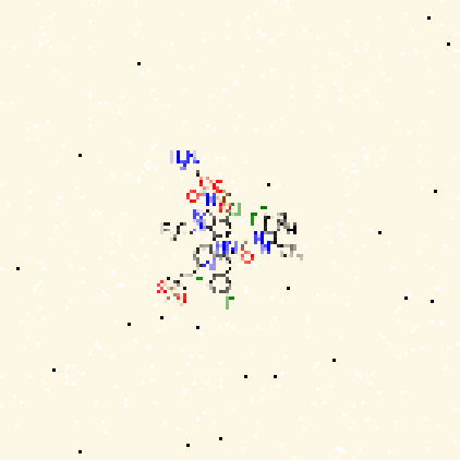 CC(C)(CCc1ccc(-c2ccc(Cl)c3c(N(C(=O)OCCN)S(C)(=O)=O)nn(CC(F)(F)F)c23)c([C@H](Cc2cc(F)cc(F)c2)NC(=O)Cn2nc(C(F)(F)F)c3c2C(F)(F)C2C[C@H]32)n1)S(C)(=O)=O